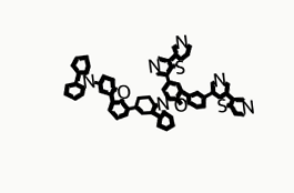 C1=C(c2cccc3c2oc2ccc(-n4c5ccccc5c5ccccc54)cc23)CCc2c1c1ccccc1n2-c1cc(-c2cncc3c2sc2ccncc23)cc2c1oc1ccc(-c3cncc4c3sc3ccncc34)cc12